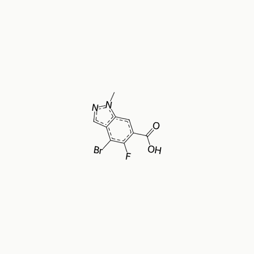 Cn1ncc2c(Br)c(F)c(C(=O)O)cc21